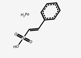 O=S(=O)(O)C=Cc1ccccc1.[PoH2]